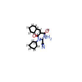 N#CCN(C(=O)C(CC1CCCCC1)C(N)=O)C1CCCCC1